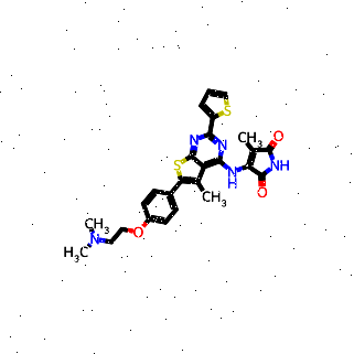 CC1=C(Nc2nc(-c3cccs3)nc3sc(-c4ccc(OCCN(C)C)cc4)c(C)c23)C(=O)NC1=O